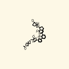 COc1nc(-c2cccc(-c3cccc(-c4cc5c(c(OC)n4)[C@@H](N4CC6(CCC(=O)N6)C4)CC5)c3F)c2Cl)cnc1CN1CC2(C1)CN(C(C)=O)C2